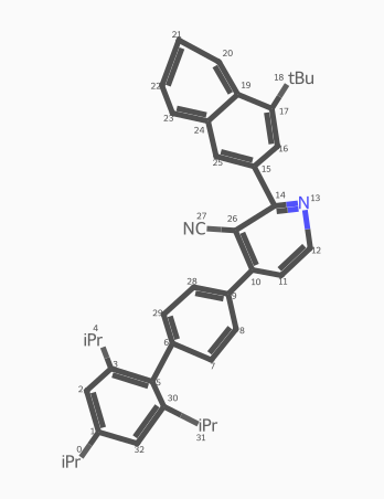 CC(C)c1cc(C(C)C)c(-c2ccc(-c3ccnc(-c4cc(C(C)(C)C)c5ccccc5c4)c3C#N)cc2)c(C(C)C)c1